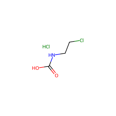 Cl.O=C(O)NCCCl